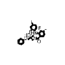 O=C(c1ccc(F)c(F)c1Nc1ccc(I)cc1F)N1CC(O)(COc2ccccc2)C1